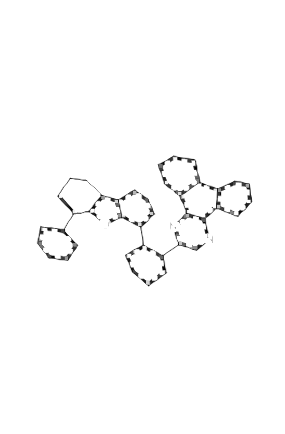 C1=C(c2ccccc2)c2oc3c(-c4ccccc4-c4cnc5c6ccccc6c6ccccc6c5n4)cccc3c2CC1